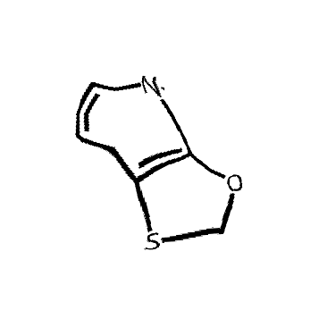 C1=CC2=C([N]1)OCS2